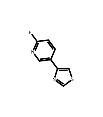 Fc1ccc(-c2cscn2)cn1